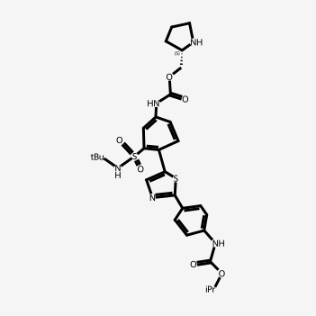 CC(C)OC(=O)Nc1ccc(-c2ncc(-c3ccc(NC(=O)OC[C@@H]4CCCN4)cc3S(=O)(=O)NC(C)(C)C)s2)cc1